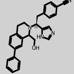 N#Cc1ccc(C[C@@H](c2cnc[nH]2)N2CCc3ccc(-c4ccccc4)cc3C2CO)cc1